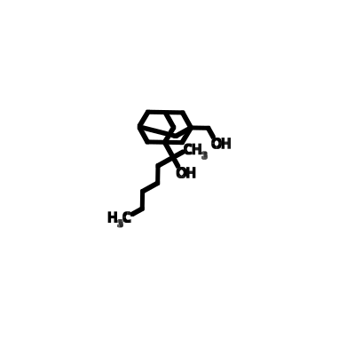 CCCCCC(C)(O)C12CC3CC(CC(CO)(C3)C1)C2